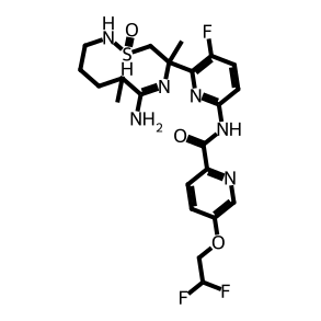 CC1(c2nc(NC(=O)c3ccc(OCC(F)F)cn3)ccc2F)C[SH]2(=O)NCCCC2(C)C(N)=N1